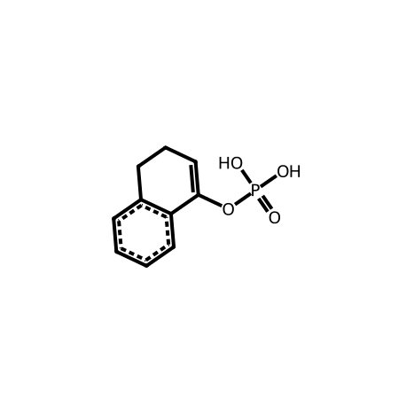 O=P(O)(O)OC1=CCCc2ccccc21